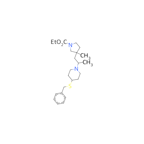 CCOC(=O)N1CCC(C)(CC(C)N2CCC(SCc3ccccc3)CC2)C1